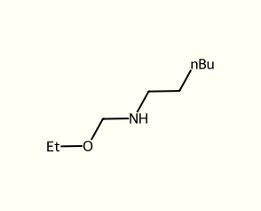 CCCCCCNCOCC